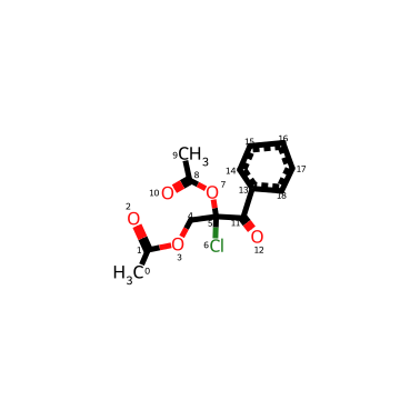 CC(=O)OCC(Cl)(OC(C)=O)C(=O)c1ccccc1